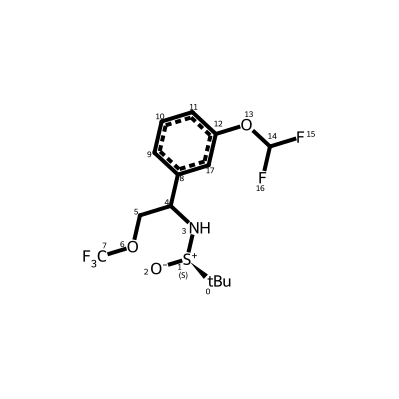 CC(C)(C)[S@@+]([O-])NC(COC(F)(F)F)c1cccc(OC(F)F)c1